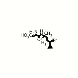 CC(C)C(CCC(C)(C)NC(=O)[C@@H](N)CC(=O)O)C1CC1